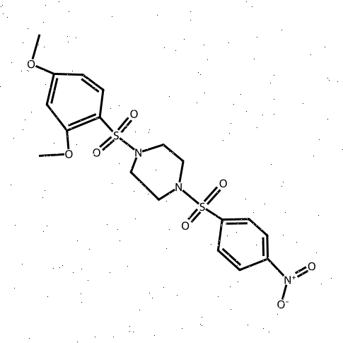 COc1ccc(S(=O)(=O)N2CCN(S(=O)(=O)c3ccc([N+](=O)[O-])cc3)CC2)c(OC)c1